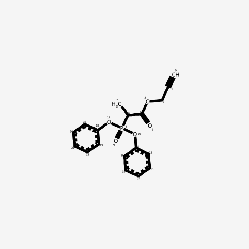 C#CCOC(=O)C(C)P(=O)(Oc1ccccc1)Oc1ccccc1